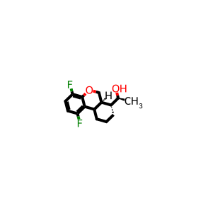 C[C@H](O)[C@@H]1CCCC2c3c(F)ccc(F)c3OC[C@H]21